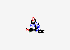 COc1ccc(-c2cn(-c3cccc(C)c3)c3ncnc(NC4CCOCC4)c23)cc1F